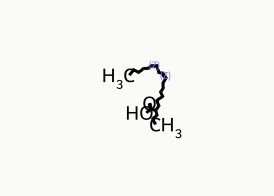 CCCCC/C=C\C/C=C\CCCCCCC(CCC)C(=O)O